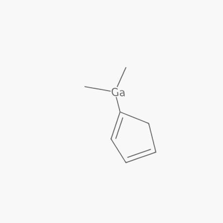 [CH3][Ga]([CH3])[C]1=CC=CC1